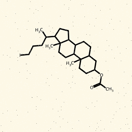 CC(=O)OC1CCC2(C)C(CCC3C2CCC2(C)C(C(C)CCCI)CCC32)C1